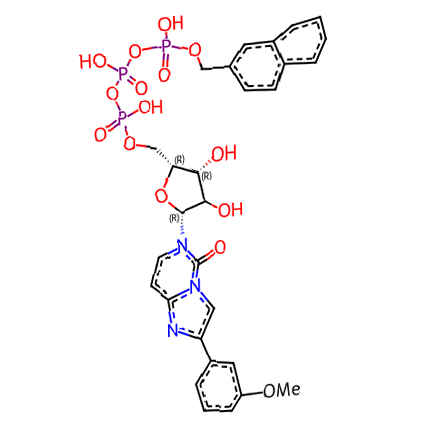 COc1cccc(-c2cn3c(=O)n([C@@H]4O[C@H](COP(=O)(O)OP(=O)(O)OP(=O)(O)OCc5ccc6ccccc6c5)[C@H](O)C4O)ccc3n2)c1